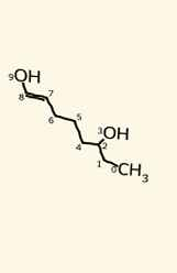 CCC(O)CCCC=CO